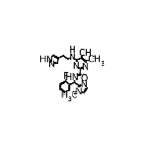 Cc1nc(C(=O)NC(c2ccccc2F)c2nccn2C)nc(NCCc2cn[nH]c2)c1C